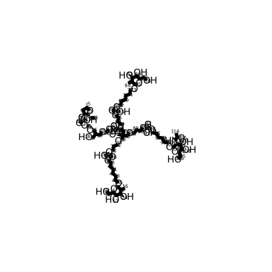 CC[C@H]1O[C@@H](C)C[C@@H]1OP(=O)(O)OCOCC(CO)COCOP(=O)(O)OCC(COCCCOP(=O)(O)OCCCCCCO[C@@H]1OC(CO)[C@H](O)[C@H](O)C1C)(COCCCOP(=O)(O)OCCCCCCO[C@@H]1OC(CO)[C@H](O)[C@H](O)C1C)COCCCOP(=O)(O)OCCCCCCO[C@@H]1OC(CO)[C@H](O)[C@H](O)C1NC(C)=O